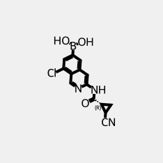 N#CC1C[C@H]1C(=O)Nc1cc2cc(B(O)O)cc(Cl)c2cn1